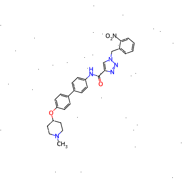 CN1CCC(Oc2ccc(-c3ccc(NC(=O)c4cn(Cc5ccccc5[N+](=O)[O-])nn4)cc3)cc2)CC1